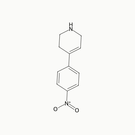 O=[N+]([O-])c1ccc(C2=CCNCC2)cc1